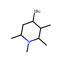 CC1C(C)N(C)C(C)CC1C(C)(C)C